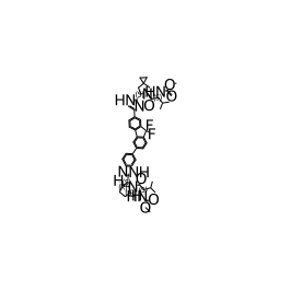 COC(=O)N[C@H](C(=O)N1CC2(CC2)C[C@H]1c1nc(-c2ccc3c(c2)C(F)(F)c2ccc(-c4ccc5nc([C@@H]6[C@@H]7CC[C@@H](C7)N6C(=O)[C@@H](NC(=O)OC)C(C)C)[nH]c5c4)cc2-3)c[nH]1)C(C)C